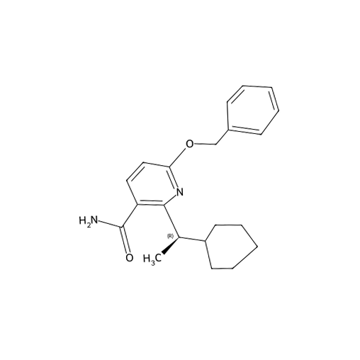 C[C@@H](c1nc(OCc2ccccc2)ccc1C(N)=O)C1CCCCC1